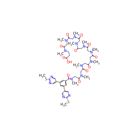 CSc1ncc(-c2cc(C(=O)N(C)CC(=O)N(C)CC(=O)N(C)CC(=O)N(C)CC(=O)N(C)CC(=O)N(C)CC(=O)N(C)CC(=O)N(C)CC(=O)N(C)CC(=O)N(C)CCC(=O)O)cc(-c3cnc(SC)nc3)c2)cn1